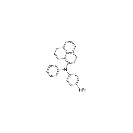 CCCc1ccc(N(c2ccccc2)c2ccc3cccc4c3c2C=CC4)cc1